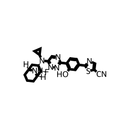 N#Cc1cnc(-c2ccc(-c3ncc(N(C4CC4)[C@H]4C[C@@H]5CCC[C@@H](N5)[C@H]4F)nn3)c(O)c2)s1